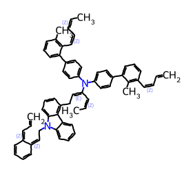 C=C/C=C\c1cccc(-c2ccc(N(C(/C=C\C)=C/Cc3cccc4c3c3ccccc3n4C/C=c3/cccc/c3=C/C=C)c3ccc(-c4cccc(C)c4/C=C\C=C/C)cc3)cc2)c1C